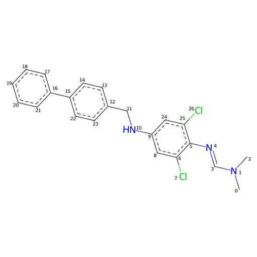 CN(C)C=Nc1c(Cl)cc(NCc2ccc(-c3ccccc3)cc2)cc1Cl